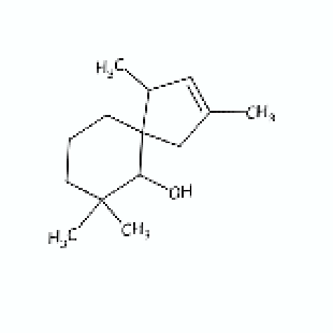 CC1=CC(C)C2(CCCC(C)(C)C2O)C1